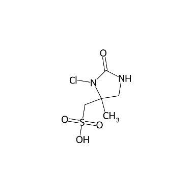 CC1(CS(=O)(=O)O)CNC(=O)N1Cl